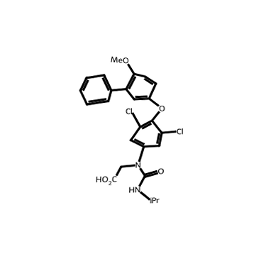 COc1ccc(Oc2c(Cl)cc(N(CC(=O)O)C(=O)NC(C)C)cc2Cl)cc1-c1ccccc1